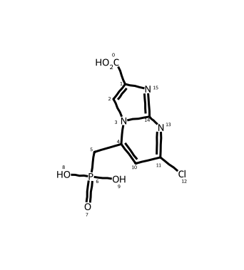 O=C(O)c1cn2c(CP(=O)(O)O)cc(Cl)nc2n1